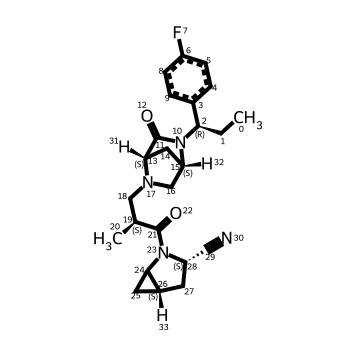 CC[C@H](c1ccc(F)cc1)N1C(=O)[C@@H]2C[C@H]1CN2C[C@H](C)C(=O)N1C2C[C@H]2C[C@H]1C#N